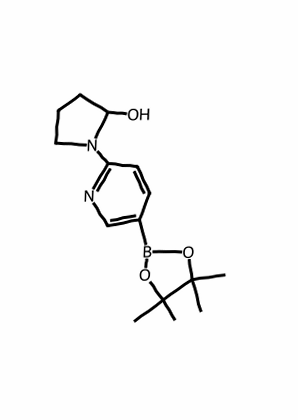 CC1(C)OB(c2ccc(N3CCCC3O)nc2)OC1(C)C